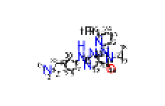 CN(C)C1Cc2ccc(Nc3ncc4c(=O)n(C5CC5)n(-c5cccc(C(C)(C)C)n5)c4n3)cc2C1